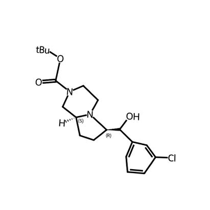 CC(C)(C)OC(=O)N1CCN2[C@@H](CC[C@@H]2C(O)c2cccc(Cl)c2)C1